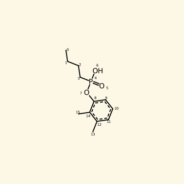 CCCCP(=O)(O)Oc1cccc(C)c1C